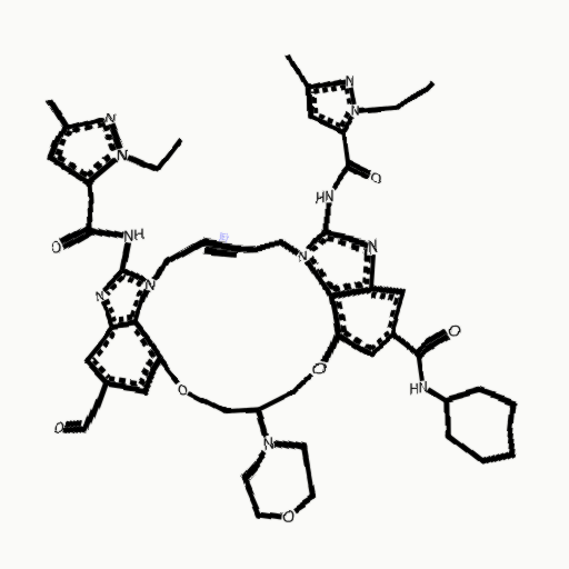 CCn1nc(C)cc1C(=O)Nc1nc2cc(C=O)cc3c2n1C/C=C/Cn1c(NC(=O)c2cc(C)nn2CC)nc2cc(C(=O)NC4CCCCC4)cc(c21)OCC(N1CCOCC1)CO3